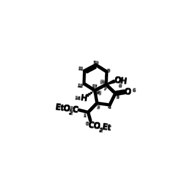 CCOC(=O)C(C(=O)OCC)C1CC(=O)[C@@]2(O)CC=CC[C@H]12